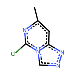 Cc1cc2nncn2c(Cl)n1